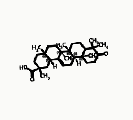 CC1(C(=O)O)CC[C@]2(C)CC[C@]3(C)C(=CC[C@@H]4[C@@]5(C)CCC(=O)C(C)(C)C5CC[C@]43C)[C@@H]2C1